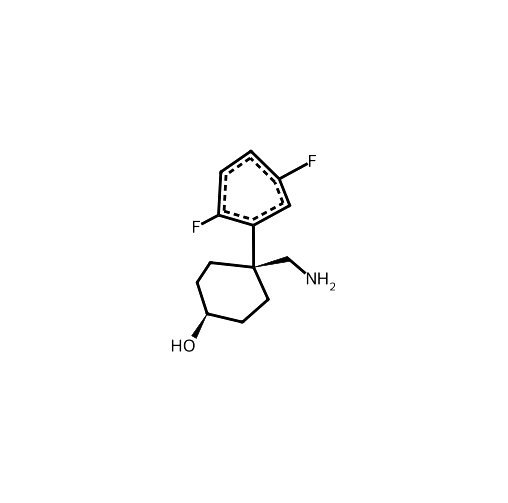 NC[C@]1(c2cc(F)ccc2F)CC[C@H](O)CC1